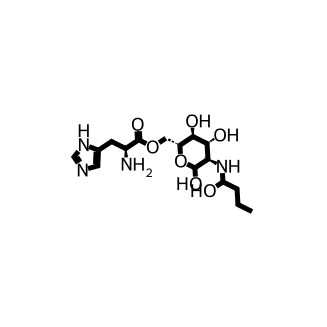 CCCC(O)N[C@H]1C(O)O[C@H](COC(=O)[C@@H](N)Cc2cnc[nH]2)[C@@H](O)[C@@H]1O